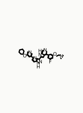 CN(C)CCOc1cc(F)cc(-c2cncc3[nH]c(-c4n[nH]c5ccc(-c6cncc(OC7CCCCC7)c6)nc45)cc23)c1